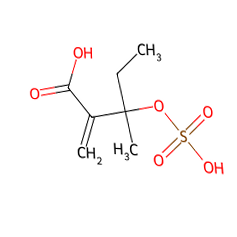 C=C(C(=O)O)C(C)(CC)OS(=O)(=O)O